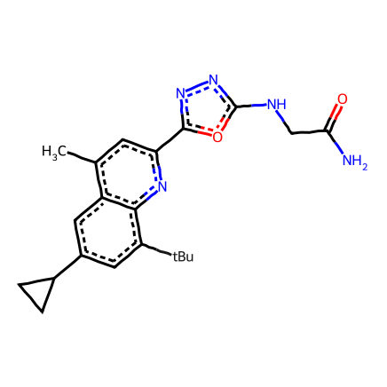 Cc1cc(-c2nnc(NCC(N)=O)o2)nc2c(C(C)(C)C)cc(C3CC3)cc12